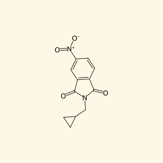 O=C1c2ccc([N+](=O)[O-])cc2C(=O)N1CC1CC1